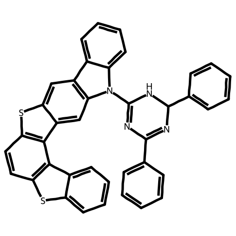 c1ccc(C2=NC(c3ccccc3)NC(n3c4ccccc4c4cc5sc6ccc7sc8ccccc8c7c6c5cc43)=N2)cc1